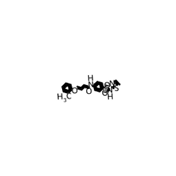 Cc1ccccc1OCCCC(=O)Nc1ccc(S(=O)(=O)Nc2nccs2)cc1